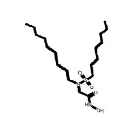 CCCCCCCCCN(CC(=O)NO)S(=O)(=O)CCCCCCCC